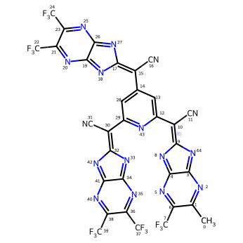 Cc1nc2c(nc1C(F)(F)F)=N/C(=C(/C#N)c1cc(C(C#N)=C3N=c4nc(C(F)(F)F)c(C(F)(F)F)nc4=N3)cc(C(C#N)=C3N=c4nc(C(F)(F)F)c(C(F)(F)F)nc4=N3)n1)N=2